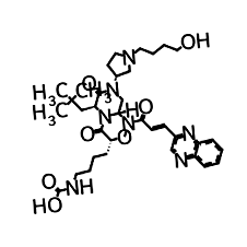 CC(C)(C)C[C@H]1C(=O)N([C@@H]2CCN(CCCCO)C2)C[C@@H]2N(C(=O)/C=C/c3cnc4ccccc4n3)O[C@H](CCCCNC(=O)O)C(=O)N21